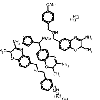 CC1Oc2ccc(CNCc3ccccc3)cc2N=C1N.CNC(c1ccsc1)c1ccc2c(c1)N=C(N)C(C)O2.COc1ccc(CNCc2ccc3c(c2)N=C(N)C(C)O3)cc1.Cl.Cl.Cl.Cl.Cl.Cl